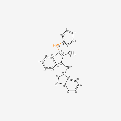 CC1=C(Pc2ccccc2)c2ccccc2[CH]1[Ti][CH]1CCC2CC=CC=C21